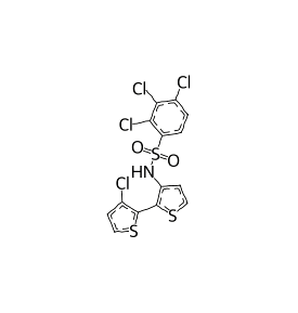 O=S(=O)(Nc1ccsc1-c1sccc1Cl)c1ccc(Cl)c(Cl)c1Cl